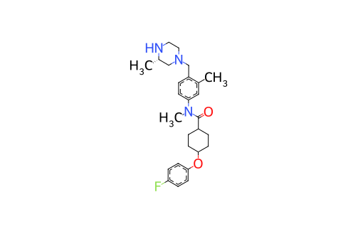 Cc1cc(N(C)C(=O)C2CCC(Oc3ccc(F)cc3)CC2)ccc1CN1CCN[C@@H](C)C1